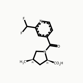 C[C@@H]1C[C@H](C(=O)O)N(C(=O)c2ccnc(C(F)F)c2)C1